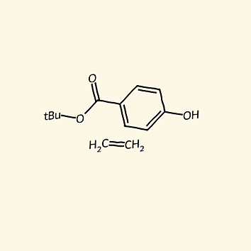 C=C.CC(C)(C)OC(=O)c1ccc(O)cc1